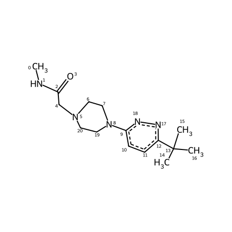 CNC(=O)CN1CCN(c2ccc(C(C)(C)C)nn2)CC1